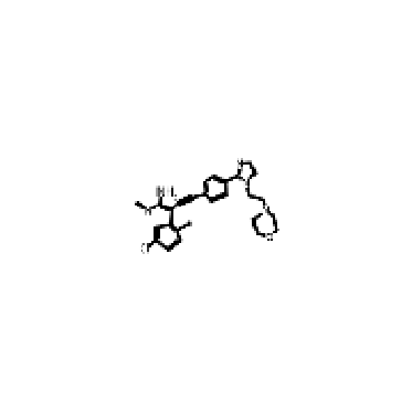 C=N/C(N)=C(/C#Cc1ccc(C2=NCCN2CCN2CCOCC2)cc1)c1cc(Cl)ccc1C